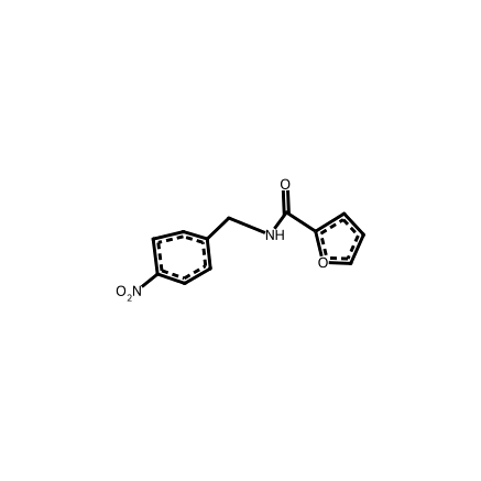 O=C(NCc1ccc([N+](=O)[O-])cc1)c1ccco1